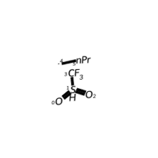 O=[SH](=O)C(F)(F)F.[CH2]CCC